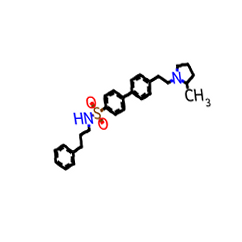 CC1CCCN1CCc1ccc(-c2ccc(S(=O)(=O)NCCCc3ccccc3)cc2)cc1